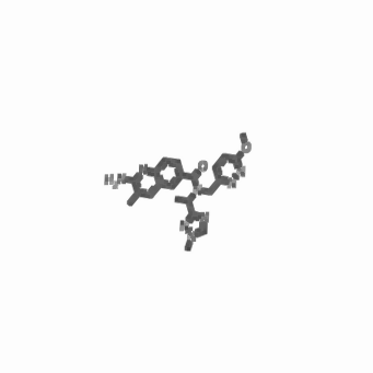 COc1ccc(CN(C(=O)c2ccc3nc(N)c(C)cc3c2)C(C)c2ncn(C)n2)nn1